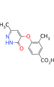 Cc1cc(Oc2ccc(C(=O)O)cc2C)c(=O)[nH]n1